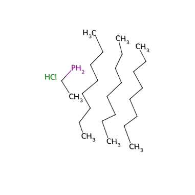 CCCCCCCC.CCCCCCCC.CCCCCCCC.CCP.Cl